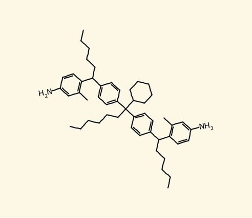 CCCCCCC(c1ccc(C(CCCCC)c2ccc(N)cc2C)cc1)(c1ccc(C(CCCCC)c2ccc(N)cc2C)cc1)C1CCCCC1